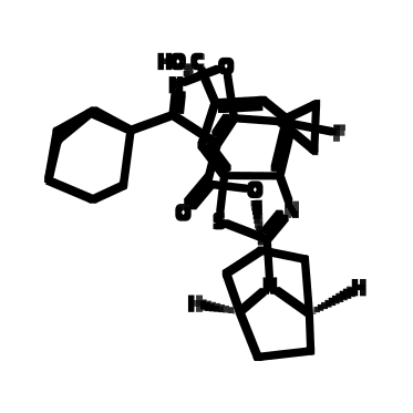 O=C(O)c1cc(F)c2nc(N3[C@@H]4CC[C@H]3C[C@H](OC(=O)c3c(C56CCC(CC5)CC6)noc3C3CC3)C4)sc2c1